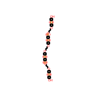 O=S(=O)(OC=CCCOc1ccc(S(=O)(=O)c2ccc(O)cc2)cc1)c1ccc(S(=O)(=O)c2ccc(OC/C=C/COc3ccc(S(=O)(=O)c4ccc(S(=O)(=O)OC=CCCOc5ccc(S(=O)(=O)c6ccc(O)cc6)cc5)cc4)cc3)cc2)cc1